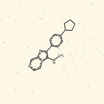 CNc1c(-c2ccc(N3CCCC3)cc2)nc2cnccn12